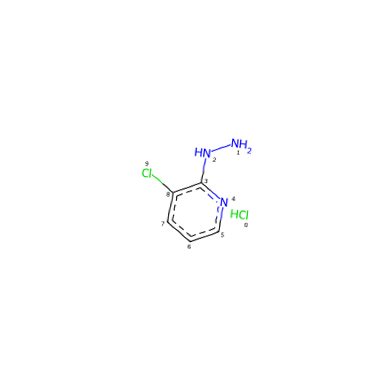 Cl.NNc1ncccc1Cl